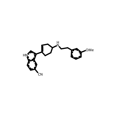 COc1cccc(CCNC2CC=C(c3c[nH]c4ccc(C#N)cc34)CC2)c1